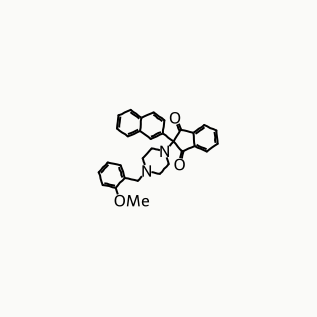 COc1ccccc1CN1CCN(C2(c3ccc4ccccc4c3)C(=O)c3ccccc3C2=O)CC1